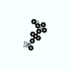 CCC1Nc2ccccc2N1c1ccc(-c2c3ccccc3c(-c3ccc([Si](c4ccccc4)(c4ccccc4)c4ccc5c(c4)oc4ccccc45)cc3)c3ccccc23)cc1